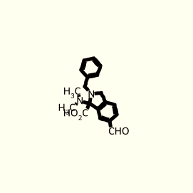 CN(C)C1(C(=O)O)c2cc(C=O)ccc2CN1Cc1ccccc1